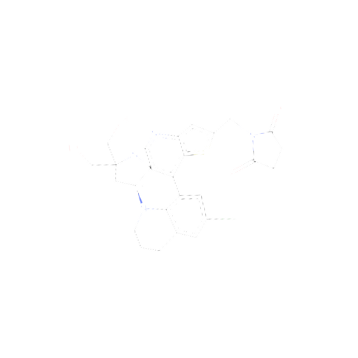 O=C1CCC(=O)N1Cc1cc2nccc(-c3cc(Cl)cc4c3N([C@@H]3CNC(CO)(CO)C3)CCC4)c2s1